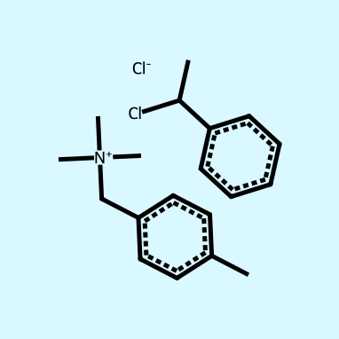 CC(Cl)c1ccccc1.Cc1ccc(C[N+](C)(C)C)cc1.[Cl-]